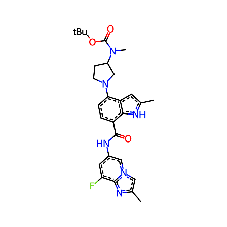 Cc1cn2cc(NC(=O)c3ccc(N4CCC(N(C)C(=O)OC(C)(C)C)C4)c4cc(C)[nH]c34)cc(F)c2n1